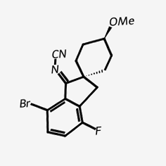 CO[C@H]1CC[C@]2(CC1)Cc1c(F)ccc(Br)c1/C2=N/C#N